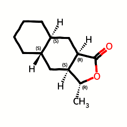 C[C@H]1OC(=O)[C@@H]2C[C@@H]3CCCC[C@H]3C[C@H]12